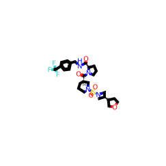 O=C(NCc1ccc(C(F)(F)F)cc1)[C@H]1CCCN1C(=O)[C@H]1CCCN(S(=O)(=O)N2CC([C@H]3CCOC3)C2)C1